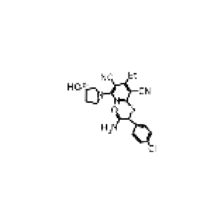 CCc1c(C#N)c(SC(C(N)=O)c2ccc(Cl)cc2)nc(N2CC[C@H](O)C2)c1C#N